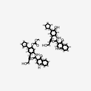 COC(=O)Oc1cc(NC(=O)c2c[nH]c3ccccc3c2=O)c(C#CCO)cc1C1CCCC1.O=C(Nc1cc(O)c(C2CCCC2)cc1C#CCO)c1c[nH]c2ccccc2c1=O